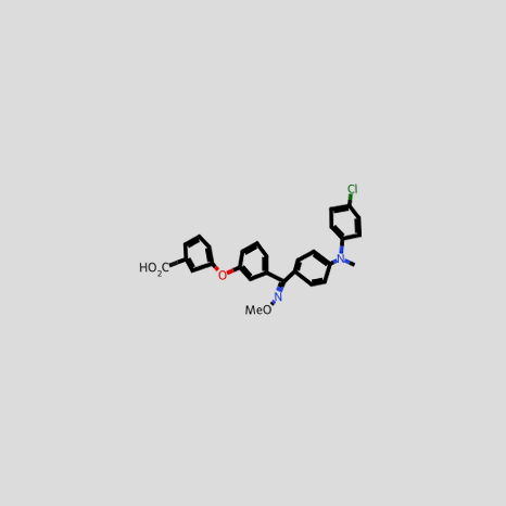 CON=C(c1ccc(N(C)c2ccc(Cl)cc2)cc1)c1cccc(Oc2cccc(C(=O)O)c2)c1